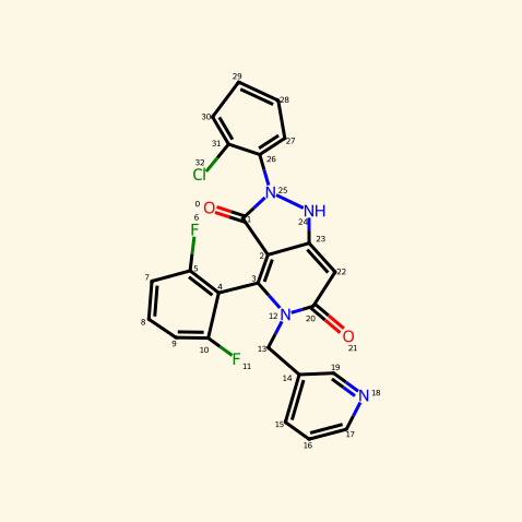 O=c1c2c(-c3c(F)cccc3F)n(Cc3cccnc3)c(=O)cc2[nH]n1-c1ccccc1Cl